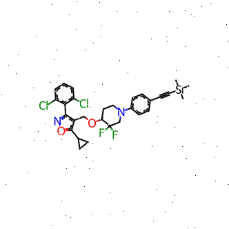 C[Si](C)(C)C#Cc1ccc(N2CCC(OCc3c(-c4c(Cl)cccc4Cl)noc3C3CC3)C(F)(F)C2)cc1